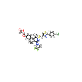 N#Cc1c(SCc2csc(-c3ccc(Cl)cc3)n2)nc(N2CCC(F)(F)C2)c(C#N)c1-c1ccc(OCCO)cc1